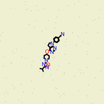 CC(C)c1noc(N2CCC(Oc3ncnc4c3CCN4c3ccc(C#N)cc3)CC2)n1